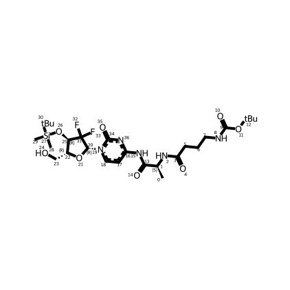 C[C@H](NC(=O)CCCNC(=O)OC(C)(C)C)C(=O)Nc1ccn([C@@H]2O[C@H](CO)[C@@H](O[Si](C)(C)C(C)(C)C)C2(F)F)c(=O)n1